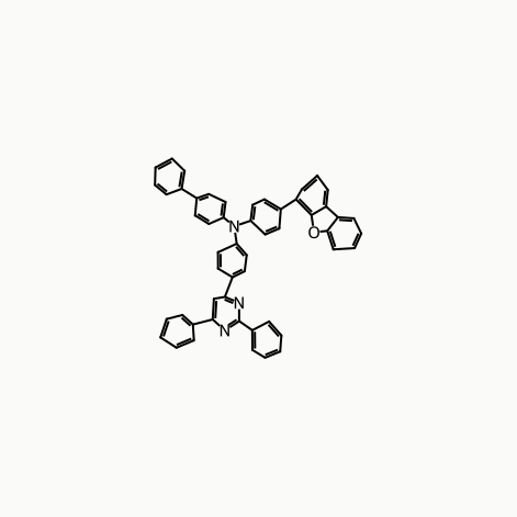 c1ccc(-c2ccc(N(c3ccc(-c4cc(-c5ccccc5)nc(-c5ccccc5)n4)cc3)c3ccc(-c4cccc5c4oc4ccccc45)cc3)cc2)cc1